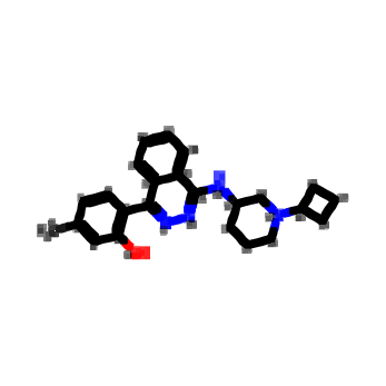 Oc1cc(C(F)(F)F)ccc1-c1nnc(N[C@@H]2CCCN(C3CCC3)C2)c2ccccc12